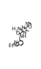 CCn1cc2cccc(CNC(=O)c3nc(C)c(-c4ncco4)nc3N)c2n1